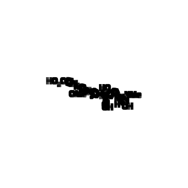 CNc1nc(O)nc(Nc2cccc3c(O)c(N=Nc4ccc(N=Nc5ccc(N=Nc6ccc(C(=O)O)cc6)cc5OC)c(C)c4)c(SOOO)cc23)n1